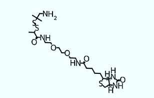 CC(SSC(C)(C)CN)C(=O)NCCOCCOCCNC(=O)CCCCC1SC[C@H]2NC(=O)N[C@@H]12